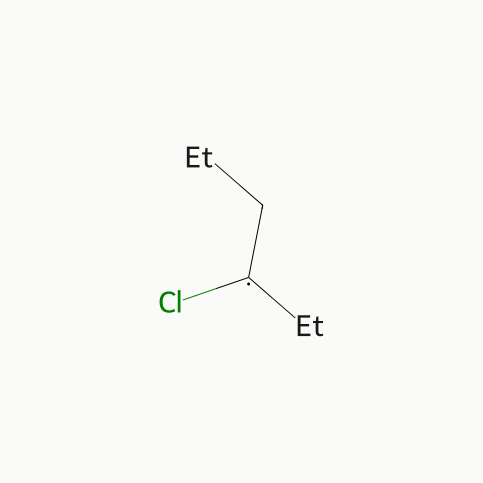 CCC[C](Cl)CC